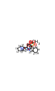 CS(=O)(=O)CC(=O)N(CCN1C2CCC1CC(c1cccc(O)c1)C2)CC1CCCCC1